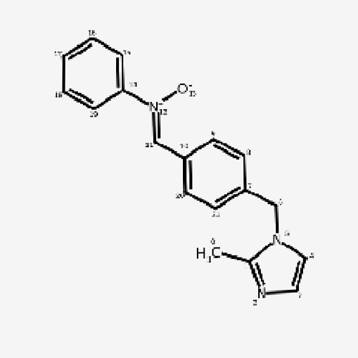 Cc1nccn1Cc1ccc(/C=[N+](\[O-])c2ccccc2)cc1